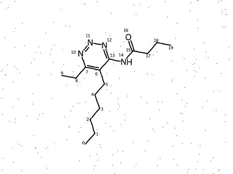 CCCCCCc1c(CC)nnnc1NC(=O)CCC